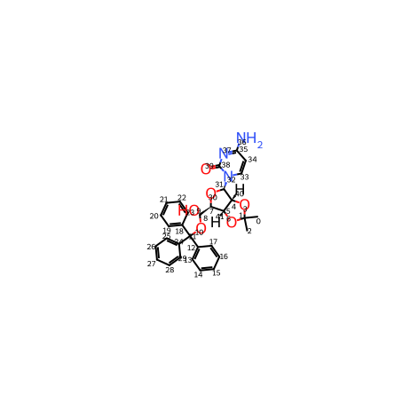 CC1(C)O[C@@H]2[C@H](O1)[C@@H](C(O)OC(c1ccccc1)(c1ccccc1)c1ccccc1)O[C@H]2n1ccc(N)nc1=O